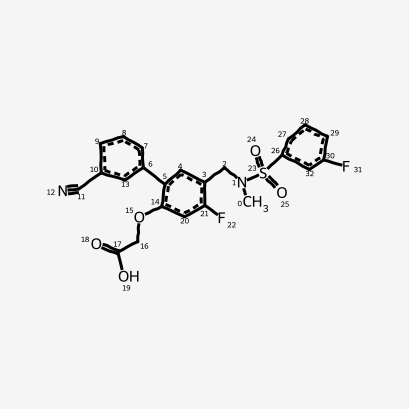 CN(Cc1cc(-c2cccc(C#N)c2)c(OCC(=O)O)cc1F)S(=O)(=O)c1cccc(F)c1